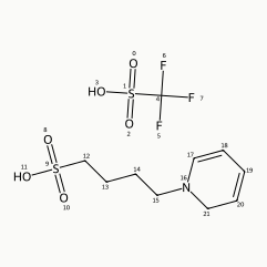 O=S(=O)(O)C(F)(F)F.O=S(=O)(O)CCCCN1C=CC=CC1